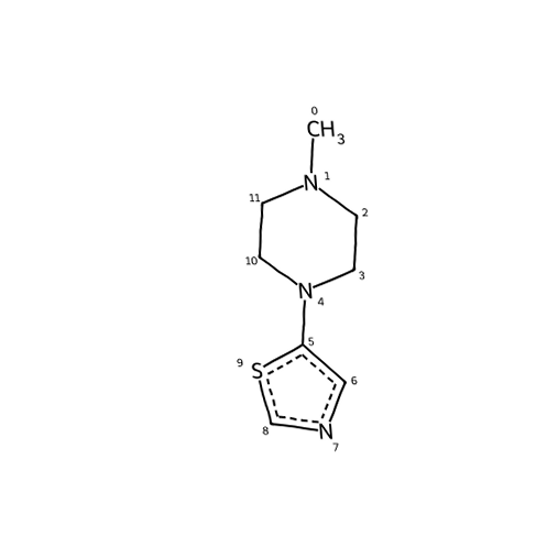 CN1CCN(c2cncs2)CC1